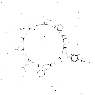 CC[C@H](C)[C@@H]1NC(=O)[C@H](CC(C)C)N(C)C(=O)C[C@@H](C)NC(=O)[C@H](C(C)C)N(C)C(=O)C2(CCCC2)NC(=O)[C@@H]2CCCN2C(=O)[C@H](CCc2ccc(C(F)(F)F)c(Cl)c2)NC(=O)CN(C)C(=O)[C@H](CC2CCCCC2)N(C)C(=O)CN(CCC(C)C)C(=O)CN(C)C1=O